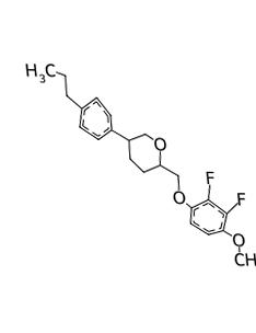 CCCc1ccc(C2CCC(COc3ccc(OC)c(F)c3F)OC2)cc1